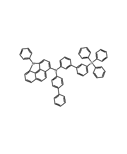 c1ccc(-c2ccc(N(c3cccc(-c4cccc([Si](c5ccccc5)(c5ccccc5)c5ccccc5)c4)c3)c3ccc4c5c3ccc3cccc(c35)n4-c3ccccc3)cc2)cc1